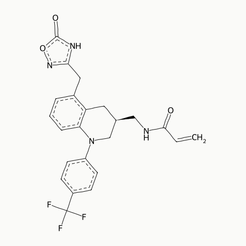 C=CC(=O)NC[C@@H]1Cc2c(Cc3noc(=O)[nH]3)cccc2N(c2ccc(C(F)(F)F)cc2)C1